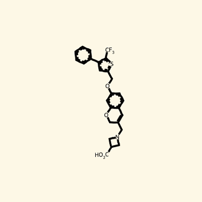 O=C(O)C1CN(CC2=Cc3ccc(OCc4cc(-c5ccccc5)c(C(F)(F)F)s4)cc3OC2)C1